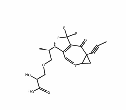 CC#C[C@@]12CC1N=CC(N[C@H](C)COCC(O)C(=O)O)=C(C(F)(F)F)C2=O